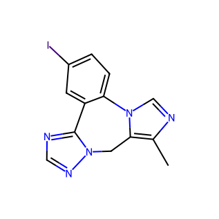 Cc1ncn2c1Cn1ncnc1-c1cc(I)ccc1-2